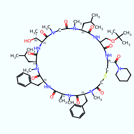 CC(C)C[C@H]1C(=O)NC(COC(C)(C)C)C(=O)N[C@H](C(=O)N2CCCCC2)CSCC(=O)N(C)[C@@H](Cc2ccccc2)C(=O)N(C)[C@@H](C)C(=O)N[C@@H](Cc2ccccc2)C(=O)N(C)[C@@H](CC(C)C)C(=O)N[C@@H]([C@@H](C)O)C(=O)N(C)CC(=O)N1C